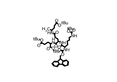 CC(CCC(=O)OC(C)(C)C)NC(=O)CCC(NC(=O)C(CCCCNC(=O)OC(C)(C)C)NC(=O)OCC1c2ccccc2-c2ccccc21)C(=O)NC(CCC(=O)OC(C)(C)C)C(=O)OC(C)(C)C